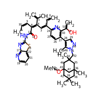 C=C\C(=C/C(C(=C)C)=C(/C=C\C)C(=O)Nc1nc2ncccc2s1)c1ccc(-c2cnn(CC3(C)CC4(C)CC(C)(C)CC(ONC)(C3)C4)c2C)c(C(=C)O)n1